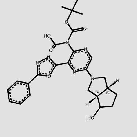 CC(C)(C)OC(=O)N(C(=O)O)c1ncc(N2C[C@@H]3CCC(O)[C@@H]3C2)nc1-c1nnc(-c2ccccc2)o1